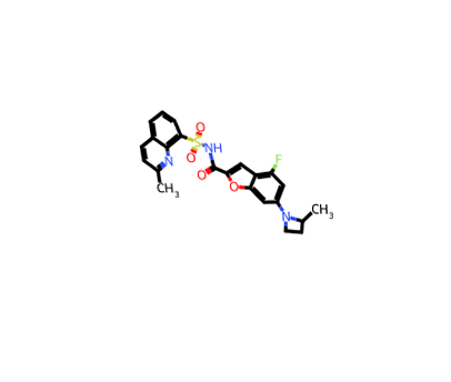 Cc1ccc2cccc(S(=O)(=O)NC(=O)c3cc4c(F)cc(N5CCC5C)cc4o3)c2n1